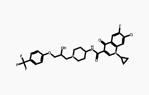 O=C(NC1CCN(CC(O)COc2ccc(C(F)(F)F)cc2)CC1)c1cn(C2CC2)c2cc(Cl)c(F)cc2c1=O